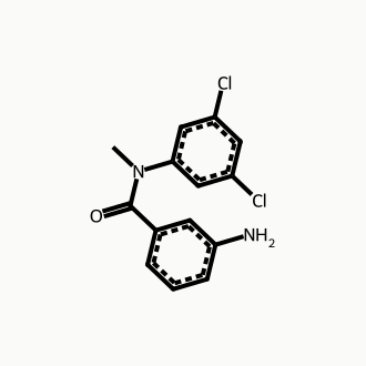 CN(C(=O)c1cccc(N)c1)c1cc(Cl)cc(Cl)c1